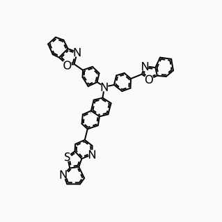 c1ccc2oc(-c3ccc(N(c4ccc(-c5nc6ccccc6o5)cc4)c4ccc5cc(-c6cnc7c(c6)sc6ncccc67)ccc5c4)cc3)nc2c1